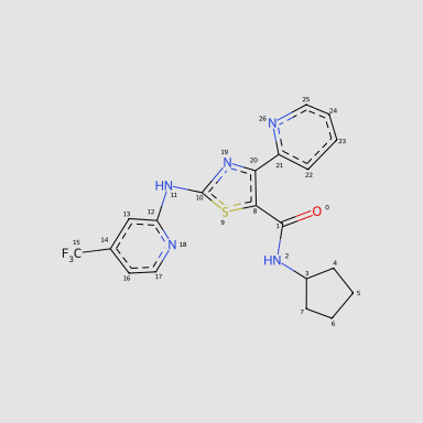 O=C(NC1CCCC1)c1sc(Nc2cc(C(F)(F)F)ccn2)nc1-c1ccccn1